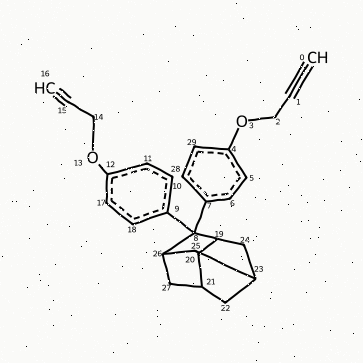 C#CCOc1ccc(C2(c3ccc(OCC#C)cc3)C3CC4CC(C3)CC2C4)cc1